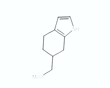 COCC1CCc2cc[nH]c2C1